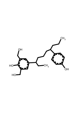 CCCC(CCCC(CC)c1cc(CO)c(O)c(CO)c1)c1ccc(O)cc1